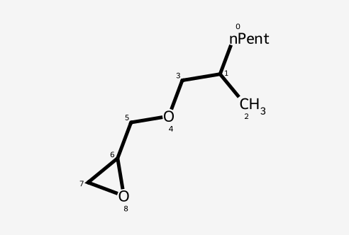 CCCCCC(C)COCC1CO1